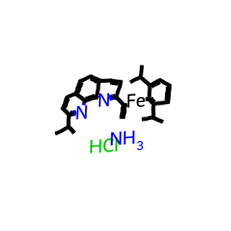 C=[C]([Fe][c]1c(C(C)C)cccc1C(C)C)c1ccc2ccc3ccc(C(C)C)nc3c2n1.Cl.N